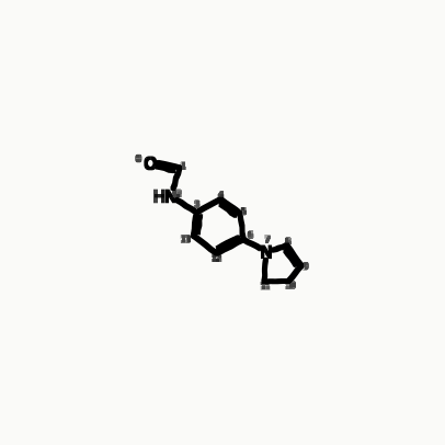 O=CNc1ccc(N2C=CCC2)cc1